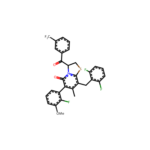 COc1cccc(-c2c(C)c(Cc3c(F)cccc3F)c3n(c2=O)C(C(=O)c2cccc(C(F)(F)F)c2)CS3)c1F